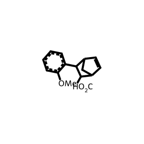 COc1ccccc1C1C2C=CC(C2)C1C(=O)O